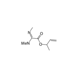 C=CC(C)OC(=O)C(=NC)NC